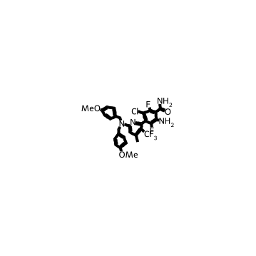 COc1ccc(CN(Cc2ccc(OC)cc2)c2cc(C)c(C(F)(F)F)c(-c3c(F)c(N)c(C(N)=O)c(F)c3Cl)n2)cc1